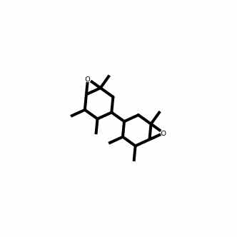 CC1C(C)C2OC2(C)CC1C1CC2(C)OC2C(C)C1C